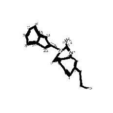 CCCc1ccc2c(c1)N=C(N)N(C1Cc3ccccc3C1)C2